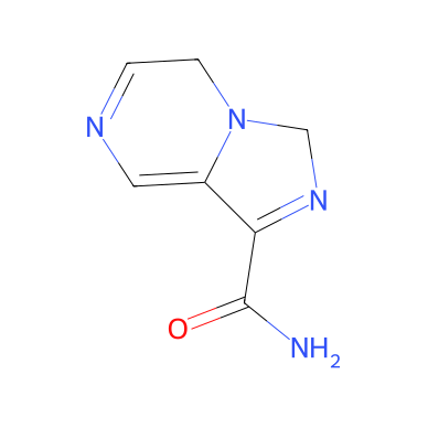 NC(=O)C1=NCN2CC=NC=C12